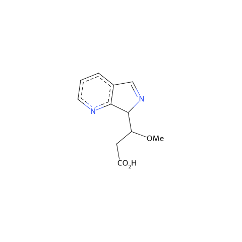 COC(CC(=O)O)C1N=Cc2cccnc21